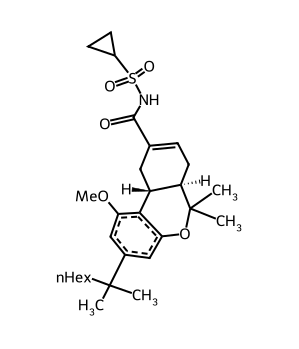 CCCCCCC(C)(C)c1cc(OC)c2c(c1)OC(C)(C)[C@@H]1CC=C(C(=O)NS(=O)(=O)C3CC3)C[C@@H]21